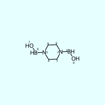 OBN1CCN(BO)CC1